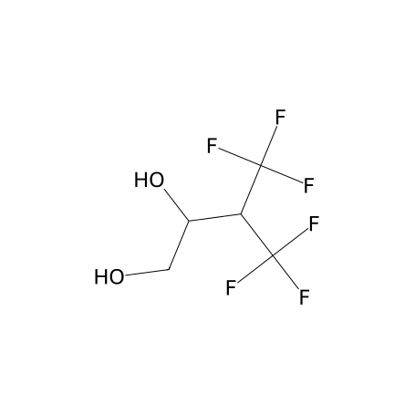 OCC(O)C(C(F)(F)F)C(F)(F)F